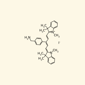 CN1C(=CC=C(C=CC2=[N+](C)c3ccccc3C2(C)C)c2ccc(CN)cc2)C(C)(C)c2ccccc21.[I-]